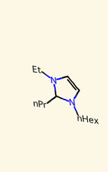 CCCCCCN1C=CN(CC)C1CCC